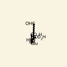 CC(C)(C)OC(=O)N[C@@H](CCCC(=O)O)C(=O)C(CCCCCCCCCCCCC=O)CC(=O)O